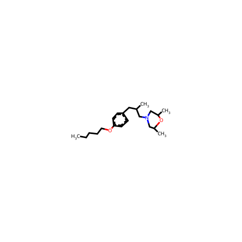 CCCCCOc1ccc(CC(C)CN2CC(C)OC(C)C2)cc1